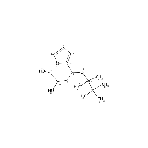 CC(C)(C)[Si](C)(C)OC(CC(O)CO)c1ccco1